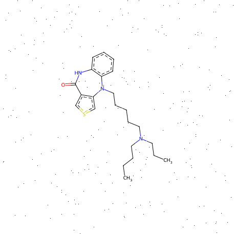 CCCCN(CCC)CCCCCN1c2ccccc2NC(=O)c2cscc21